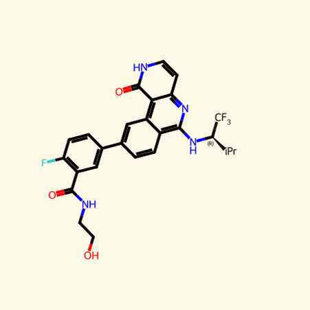 CC(C)[C@@H](Nc1nc2cc[nH]c(=O)c2c2cc(-c3ccc(F)c(C(=O)NCCO)c3)ccc12)C(F)(F)F